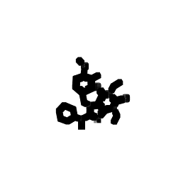 CCn1c(=O)c2c(nc(NC3CCCCC3)n2Cc2ccc(OC)c(C)c2)n(CC)c1=O